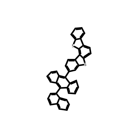 c1ccc2c(-c3c4ccccc4c(-c4ccc5c(c4)sc4ccc6c7ccccc7sc6c45)c4ccccc34)cccc2c1